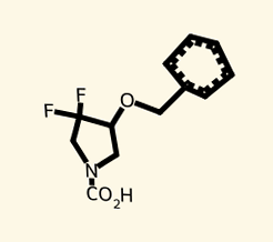 O=C(O)N1CC(OCc2ccccc2)C(F)(F)C1